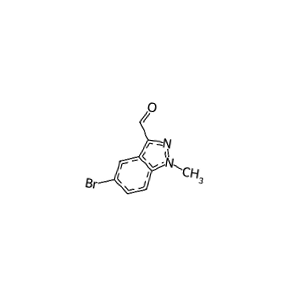 Cn1nc(C=O)c2cc(Br)ccc21